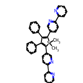 C[Si]1(C)C(c2ccc(-c3ccccn3)nc2)=C(c2ccccc2)C(c2ccccc2)=C1c1ccc(-c2ccccn2)nc1